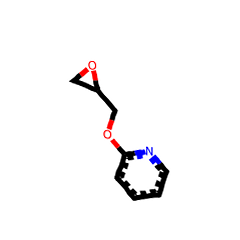 c1ccc(OCC2CO2)nc1